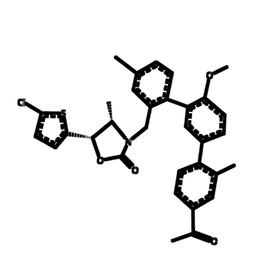 COc1ccc(-c2ccc(C(C)=O)cc2C)cc1-c1ccc(C)cc1CN1C(=O)O[C@H](c2ccc(Cl)s2)[C@@H]1C